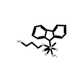 [CH3][Ti](=[O])([SiH3])([Cl])([Cl])([O]CCCO)[CH]1c2ccccc2-c2ccccc21